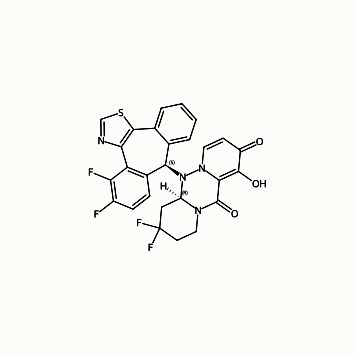 O=C1c2c(O)c(=O)ccn2N([C@@H]2c3ccccc3-c3scnc3-c3c2ccc(F)c3F)[C@@H]2CC(F)(F)CCN12